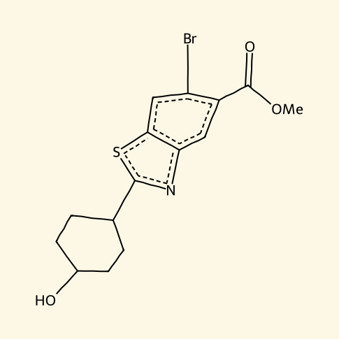 COC(=O)c1cc2nc(C3CCC(O)CC3)sc2cc1Br